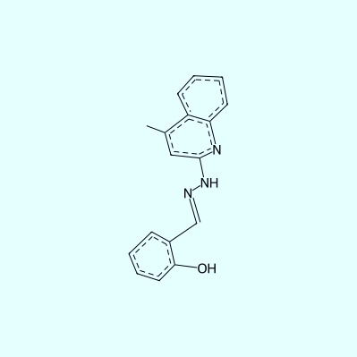 Cc1cc(N/N=C/c2ccccc2O)nc2ccccc12